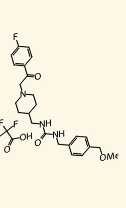 COCc1ccc(CNC(=O)NCC2CCN(CC(=O)c3ccc(F)cc3)CC2)cc1.O=C(O)C(F)(F)F